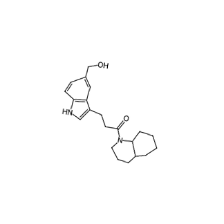 O=C(CCc1c[nH]c2ccc(CO)cc12)N1CCCC2CCCCC21